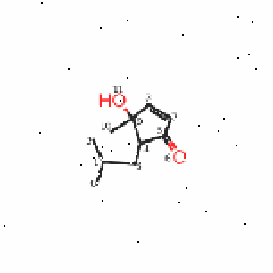 CC(C)CC1C(=O)C=CC1(C)O